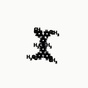 COc1ccc(N(c2ccc(OC)cc2)c2ccc(C(C)(C)c3ccc(N(c4ccc(OC)cc4)c4ccc(OC)cc4)cc3)cc2)cc1